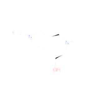 CN1CC[C@H](CN2CCC[C@H]2CO)C1